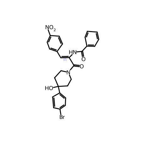 O=C(N/C(=C\c1ccc([N+](=O)[O-])cc1)C(=O)N1CCC(O)(c2ccc(Br)cc2)CC1)c1ccccc1